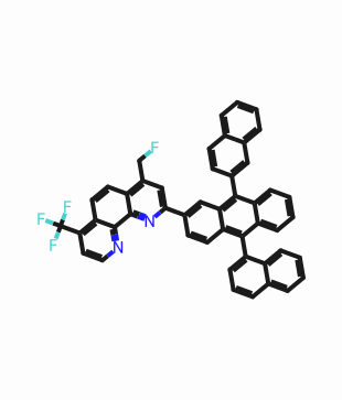 FCc1cc(-c2ccc3c(-c4cccc5ccccc45)c4ccccc4c(-c4ccc5ccccc5c4)c3c2)nc2c1ccc1c(C(F)(F)F)ccnc12